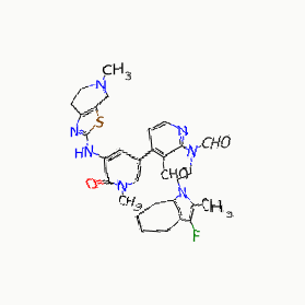 Cc1c(F)c2c(n1CCN(C=O)c1nccc(-c3cc(Nc4nc5c(s4)CN(C)CC5)c(=O)n(C)c3)c1C=O)CCCC2